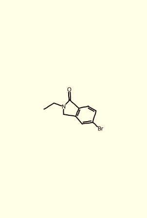 CCN1Cc2cc(Br)ccc2C1=O